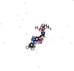 CC(C)(C)OC(=O)N1CC2CC2(C#Cc2cc3ncnc(Nc4ccc(Cl)c(Cl)c4F)c3cc2[N+](=O)[O-])C1